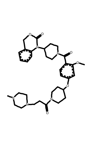 COc1cc(OC2CCN(C(=O)CCN3CCN(C)CC3)CC2)ccc1C(=O)N1CCC(N2C(=O)OCc3ccccc32)CC1